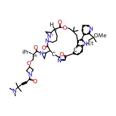 CCn1c(-c2cccnc2C(C)(C)OC)c2c3cc(ccc31)-c1cnc(o1)CC(C1CN1C(=O)[C@@H](COC1CN(C(=O)C#CC(C)(C)N(C)C)C1)C(C)C)C(=O)N1CCC[C@@H](C(=O)OCC(C)(C)C2)C2C=[N+]21